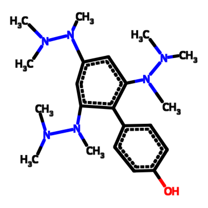 CN(C)N(C)c1cc(N(C)N(C)C)c(-c2ccc(O)cc2)c(N(C)N(C)C)c1